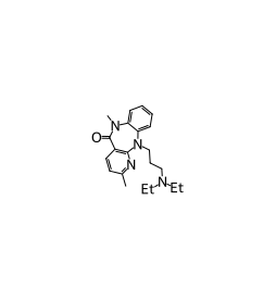 CCN(CC)CCCN1c2ccccc2N(C)C(=O)c2ccc(C)nc21